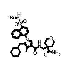 Cc1c(C(=O)NCC2(C(N)=O)CCOCC2)cn(-c2ccc(S(=O)(=O)NC(C)(C)C)c3ccccc23)c1CC1CCCCC1